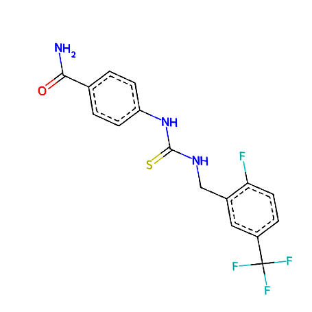 NC(=O)c1ccc(NC(=S)NCc2cc(C(F)(F)F)ccc2F)cc1